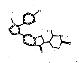 Cn1ncc(-c2ccc3c(c2)CN(C2CCC(=O)NC2O)C3=O)c1-c1ccc(Cl)cc1